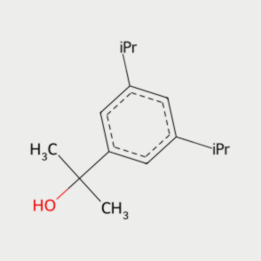 CC(C)c1cc(C(C)C)cc(C(C)(C)O)c1